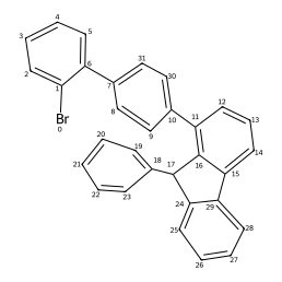 Brc1ccccc1-c1ccc(-c2cccc3c2C(c2ccccc2)c2ccccc2-3)cc1